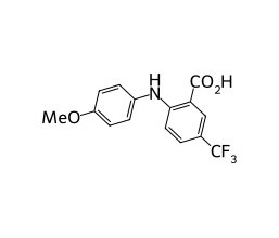 COc1ccc(Nc2ccc(C(F)(F)F)cc2C(=O)O)cc1